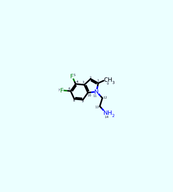 Cc1cc2c(F)c(F)ccc2n1CCN